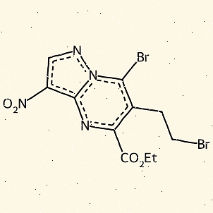 CCOC(=O)c1nc2c([N+](=O)[O-])cnn2c(Br)c1CCBr